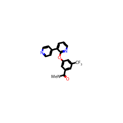 CNC(=O)c1cc(Oc2ncccc2-c2ccncc2)cc(C(F)(F)F)c1